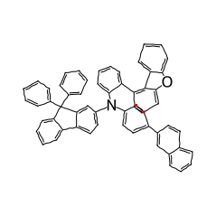 c1ccc(C2(c3ccccc3)c3ccccc3-c3ccc(N(c4ccc(-c5ccc6ccccc6c5)cc4)c4ccccc4-c4cccc5oc6ccccc6c45)cc32)cc1